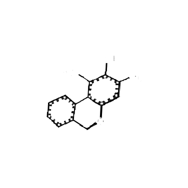 Cc1cc2c(c(C)c1C)-c1ccccc1CO2